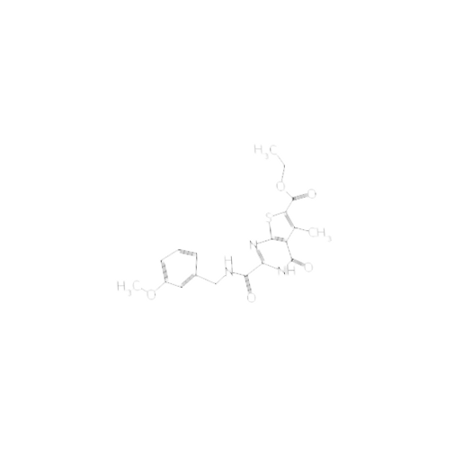 CCOC(=O)c1sc2nc(C(=O)NCc3cccc(OC)c3)[nH]c(=O)c2c1C